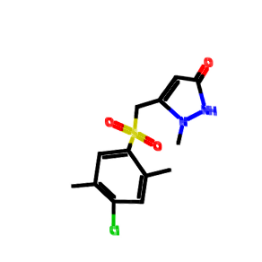 Cc1cc(S(=O)(=O)Cc2cc(=O)[nH]n2C)c(C)cc1Cl